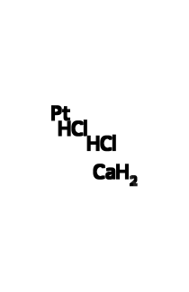 Cl.Cl.[CaH2].[Pt]